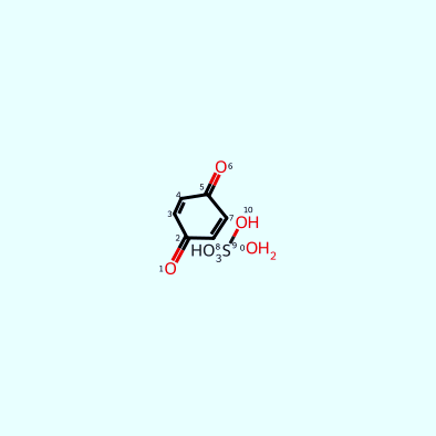 O.O=C1C=CC(=O)C=C1.O=S(=O)(O)O